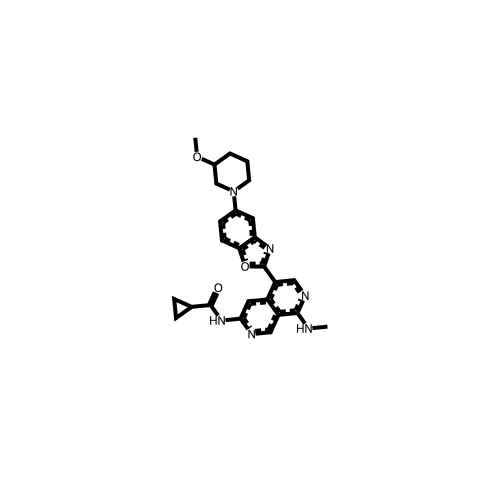 CNc1ncc(-c2nc3cc(N4CCCC(OC)C4)ccc3o2)c2cc(NC(=O)C3CC3)ncc12